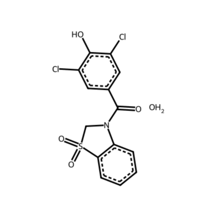 O.O=C(c1cc(Cl)c(O)c(Cl)c1)N1CS(=O)(=O)c2ccccc21